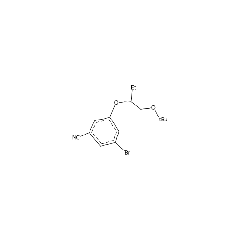 CCC(COC(C)(C)C)Oc1cc(Br)cc(C#N)c1